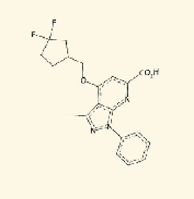 Cc1nn(-c2ccccc2)c2nc(C(=O)O)cc(OCC3CCC(F)(F)C3)c12